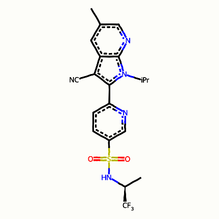 Cc1cnc2c(c1)c(C#N)c(-c1ccc(S(=O)(=O)N[C@@H](C)C(F)(F)F)cn1)n2C(C)C